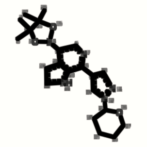 CC1(C)OB(c2cnc(-c3cnn(C4CCCCO4)c3)c3[nH]ccc23)OC1(C)C